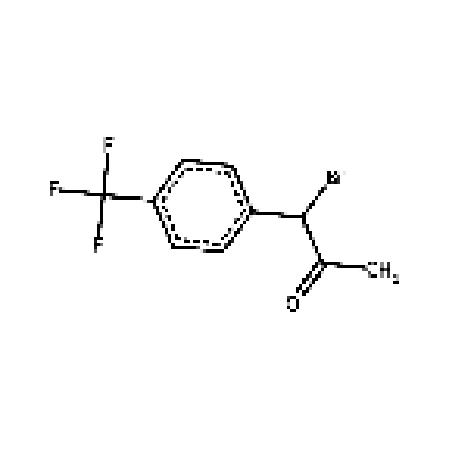 CC(=O)C(Br)c1ccc(C(F)(F)F)cc1